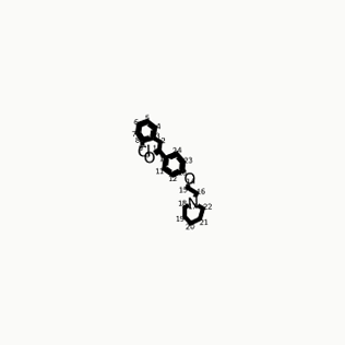 O=C(Cc1ccccc1Cl)c1ccc(OCCN2CCCCC2)cc1